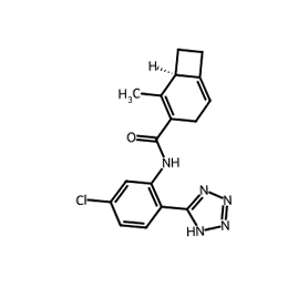 CC1=C(C(=O)Nc2cc(Cl)ccc2-c2nnn[nH]2)CC=C2CC[C@@H]21